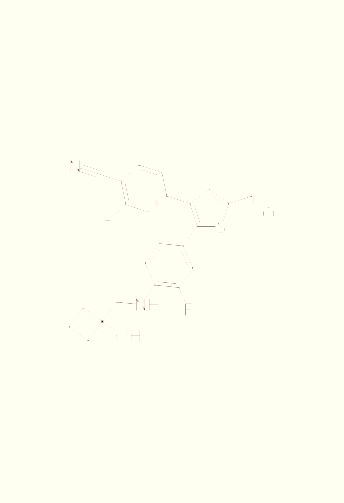 N#Cc1ccc(-c2cc(C=O)sc2-c2ccc(NCC3(O)CCC3)c(F)c2)cc1F